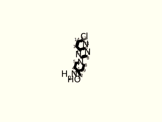 NC1(CO)CCN(c2cnc3nc(Cl)ccc3n2)CC1